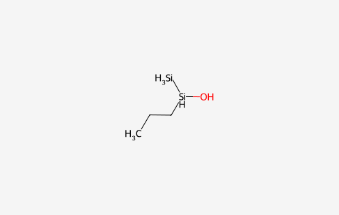 CCC[SiH](O)[SiH3]